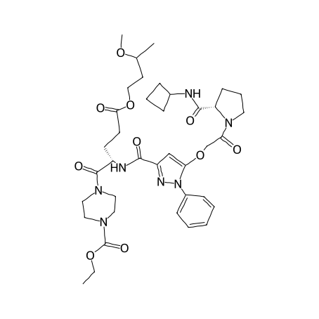 CCOC(=O)N1CCN(C(=O)[C@H](CCC(=O)OCCC(C)OC)NC(=O)c2cc(OCC(=O)N3CCC[C@H]3C(=O)NC3CCC3)n(-c3ccccc3)n2)CC1